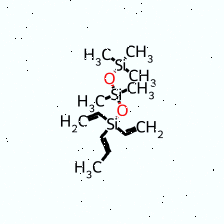 C=C[Si](C=C)(C=CC)O[Si](C)(C)O[Si](C)(C)C